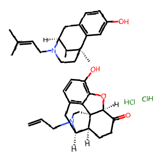 C=CCN1CC[C@]23c4c5ccc(O)c4O[C@H]2C(=O)CC[C@H]3[C@H]1C5.CC(C)=CCN1CC[C@]2(C)c3cc(O)ccc3C[C@H]1C2C.Cl.Cl